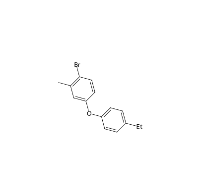 CCc1ccc(Oc2ccc(Br)c(C)c2)cc1